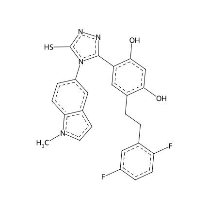 Cn1ccc2cc(-n3c(S)nnc3-c3cc(CCc4cc(F)ccc4F)c(O)cc3O)ccc21